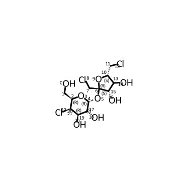 OC[C@H]1O[C@H](O[C@]2(CCl)O[C@H](CCl)C(O)[C@@H]2O)[C@H](O)[C@@H](O)[C@H]1Cl